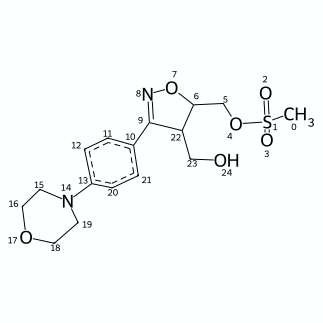 CS(=O)(=O)OCC1ON=C(c2ccc(N3CCOCC3)cc2)C1CO